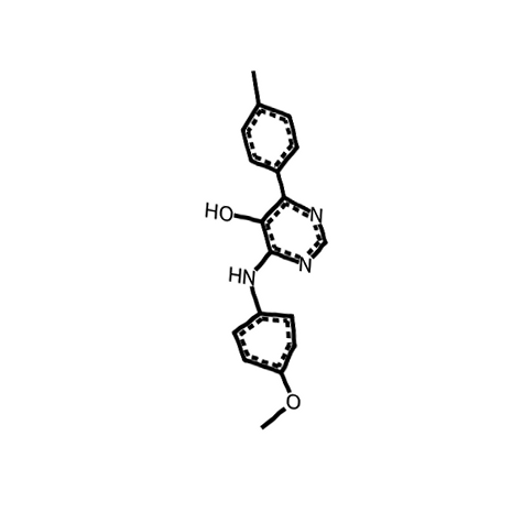 COc1ccc(Nc2ncnc(-c3ccc(C)cc3)c2O)cc1